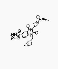 CC#CC(=O)N1CC(n2c(=O)c3cc(S(=O)(=O)NC4(C)CC4)ccc3n(CC3CCN(C)C3)c2=O)C1